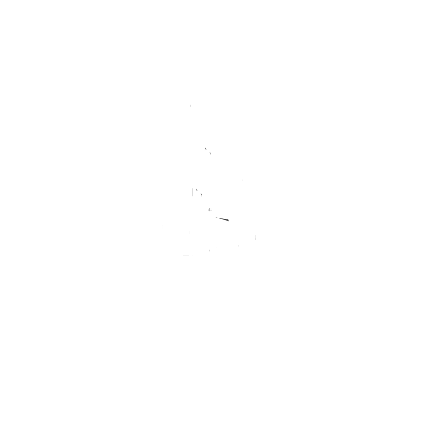 CCCCS(=O)(=O)C[C@H](NC(=O)N1CCOCC1)C(=O)O